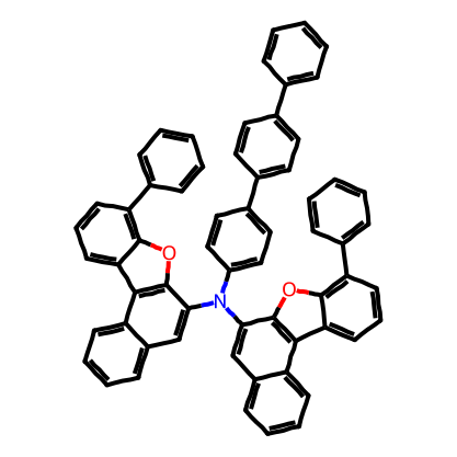 c1ccc(-c2ccc(-c3ccc(N(c4cc5ccccc5c5c4oc4c(-c6ccccc6)cccc45)c4cc5ccccc5c5c4oc4c(-c6ccccc6)cccc45)cc3)cc2)cc1